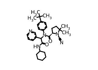 CC(C)(C)c1ccc(N(C(=O)[C@H]2CCC(C)(C)N2C#N)C(C(=O)NC2CCCCC2)c2cccnc2)cc1